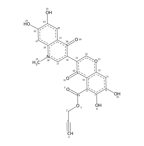 C#CCOC(=O)c1c(O)c(O)cc2occ(-c3cn(C)c4cc(O)c(O)cc4c3=O)c(=O)c12